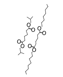 CC(C)COC(=O)CCCCC(=O)OCC(C)C.CCCCCCCCOC(=O)CCCCC(=O)OCCCCCCCC